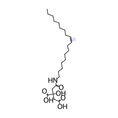 CCCCCCCC/C=C\CCCCCCCCNC(=O)CC(O)(CC(=O)O)C(=O)O